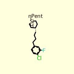 CCCCC[Si@H]1CC[C@H](CCCCc2ccc(Cl)c(F)c2)CC1